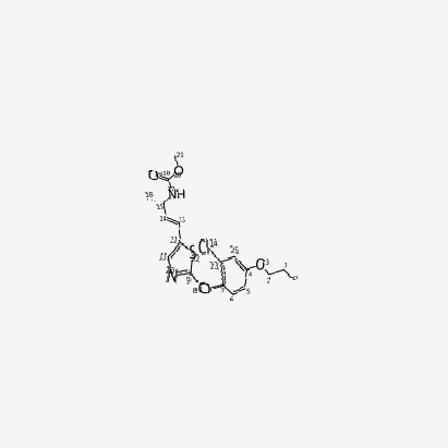 CCCOc1ccc(Oc2ncc(/C=C/[C@H](C)NC(=O)OC)s2)c(Cl)c1